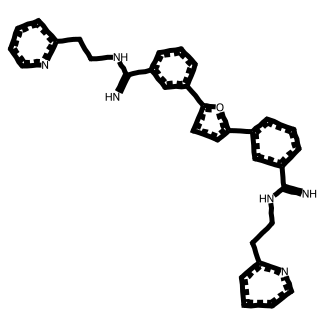 N=C(NCCc1ccccn1)c1cccc(-c2ccc(-c3cccc(C(=N)NCCc4ccccn4)c3)o2)c1